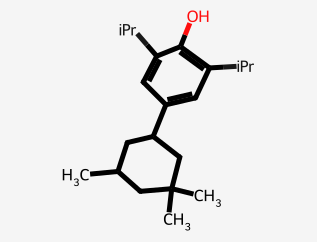 CC1CC(c2cc(C(C)C)c(O)c(C(C)C)c2)CC(C)(C)C1